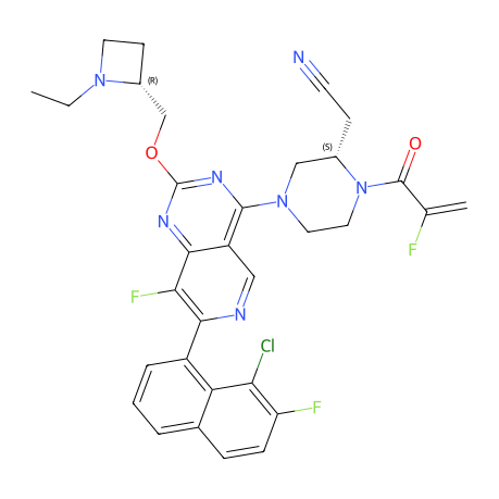 C=C(F)C(=O)N1CCN(c2nc(OC[C@H]3CCN3CC)nc3c(F)c(-c4cccc5ccc(F)c(Cl)c45)ncc23)C[C@@H]1CC#N